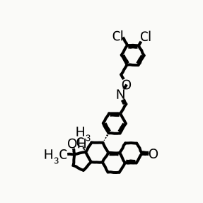 CC1(O)CCC2C3CCC4=CC(=O)CCC4=C3[C@@H](c3ccc(/C=N/OCc4ccc(Cl)c(Cl)c4)cc3)C[C@@]21C